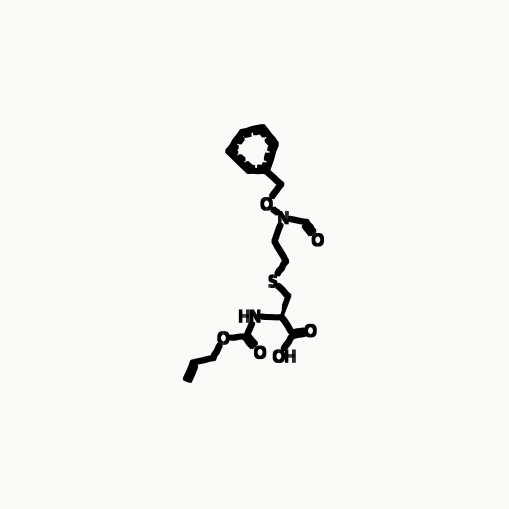 C=CCOC(=O)N[C@@H](CSCCN(C=O)OCc1ccccc1)C(=O)O